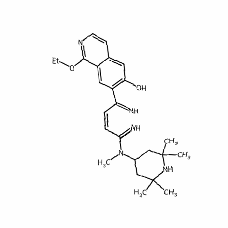 CCOc1nccc2cc(O)c(C(=N)/C=C\C(=N)N(C)C3CC(C)(C)NC(C)(C)C3)cc12